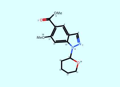 COC(=O)c1cc2cnn(C3CCCCO3)c2cc1OC